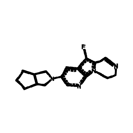 Fc1c2n(c3ncc(N4CC5CCCC5C4)cc13)CCN=C2